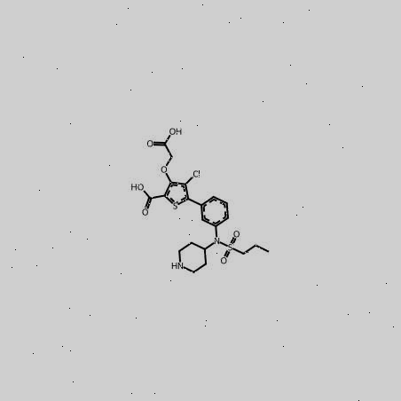 CCCS(=O)(=O)N(c1cccc(-c2sc(C(=O)O)c(OCC(=O)O)c2Cl)c1)C1CCNCC1